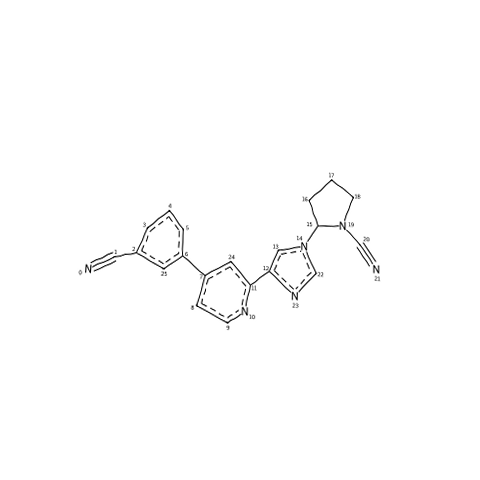 N#Cc1cccc(-c2ccnc(-c3cn(C4CCCN4C#N)cn3)c2)c1